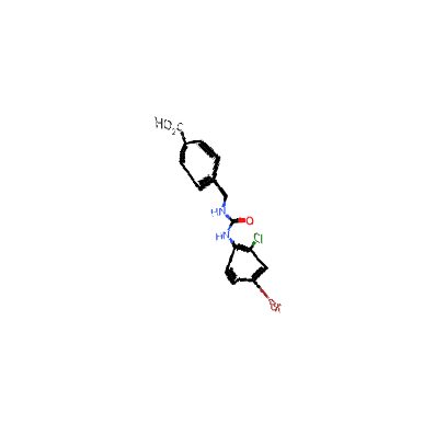 O=C(NCc1ccc(C(=O)O)cc1)Nc1ccc(Br)cc1Cl